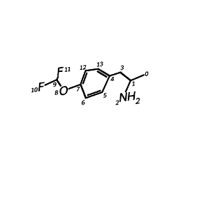 CC(N)Cc1ccc(OC(F)F)cc1